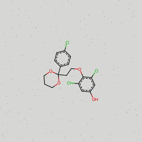 Oc1cc(Cl)c(OCCC2(c3ccc(Cl)cc3)OCCCO2)c(Cl)c1